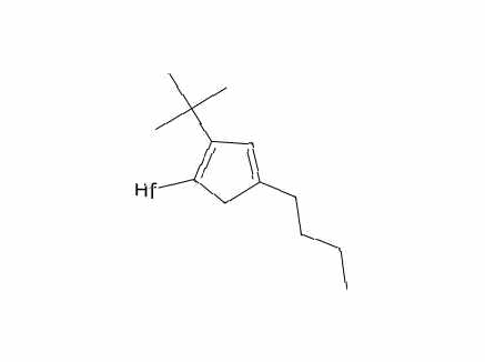 CCCCC1=CC(C(C)(C)C)=[C]([Hf])C1